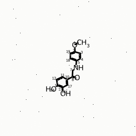 COc1ccc(NCC(=O)c2ccc(O)c(O)c2)cc1